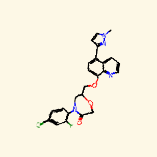 Cn1ccc(-c2ccc(OCC3CN(c4ccc(Cl)cc4F)C(=O)CO3)c3ncccc23)n1